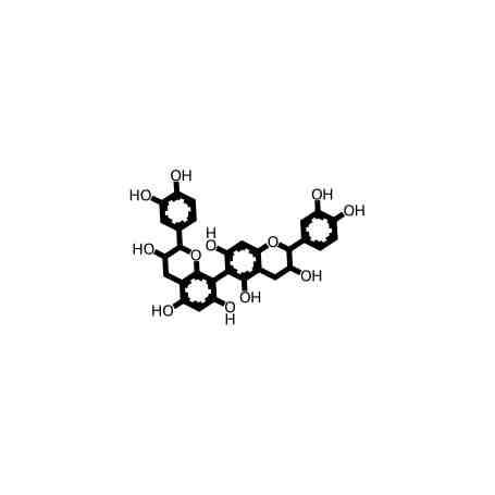 Oc1ccc(C2Oc3cc(O)c(-c4c(O)cc(O)c5c4OC(c4ccc(O)c(O)c4)C(O)C5)c(O)c3CC2O)cc1O